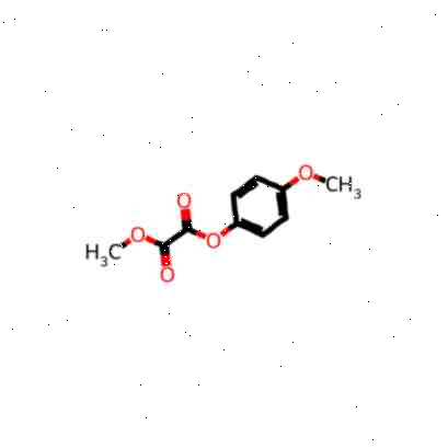 COC(=O)C(=O)Oc1ccc(OC)cc1